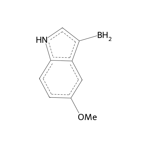 Bc1c[nH]c2ccc(OC)cc12